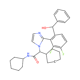 O=C(NC1CCCCC1)C(C1CCCCC1)n1ccnc1-c1c(C(O)c2ccccc2)ccc(F)c1F